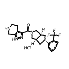 Cl.O=C(c1n[nH]c2c1CCNC2)N1C[C@H]2C[C@H](c3ccccc3C(F)(F)F)C[C@H]2C1